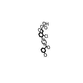 COc1cccc(C(=O)N2CCN(c3ccc4oc(OC(=O)O)cc4c3Cl)CC2)c1